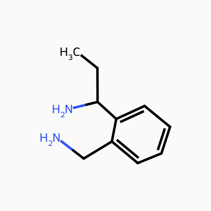 CCC(N)c1ccccc1CN